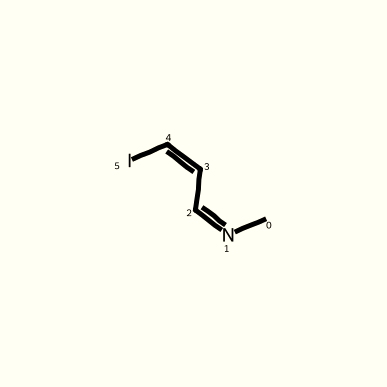 C/N=C\C=C/I